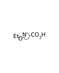 CCOC1=NCC(C(=O)O)CC1